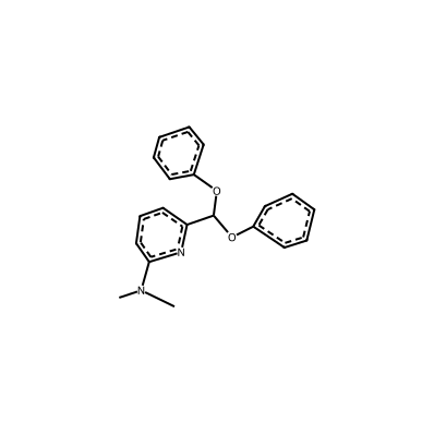 CN(C)c1cccc(C(Oc2ccccc2)Oc2ccccc2)n1